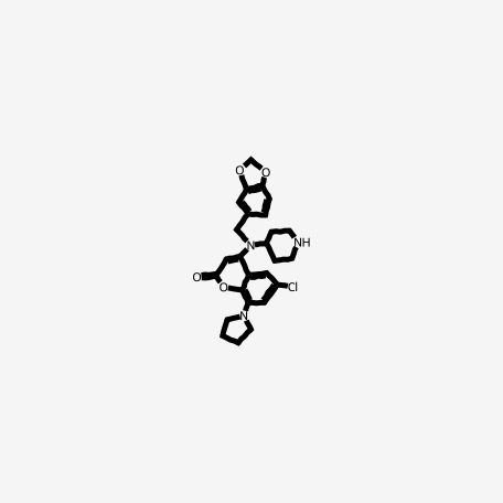 O=c1cc(N(Cc2ccc3c(c2)OCO3)C2CCNCC2)c2cc(Cl)cc(N3CCCC3)c2o1